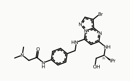 CC(C)[C@@H](CO)Nc1cc(NCc2ccc(NC(=O)CN(C)C)cc2)n2ncc(Br)c2n1